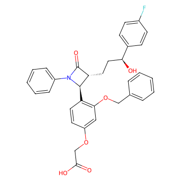 O=C(O)COc1ccc([C@@H]2[C@@H](CC[C@H](O)c3ccc(F)cc3)C(=O)N2c2ccccc2)c(OCc2ccccc2)c1